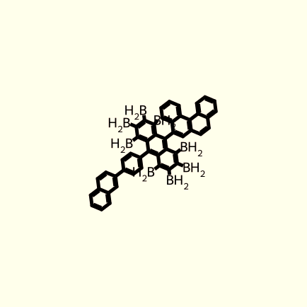 Bc1c(B)c(B)c2c(-c3cc4ccc5ccccc5c4c4ccccc34)c3c(B)c(B)c(B)c(B)c3c(-c3ccc(-c4ccc5ccccc5c4)cc3)c2c1B